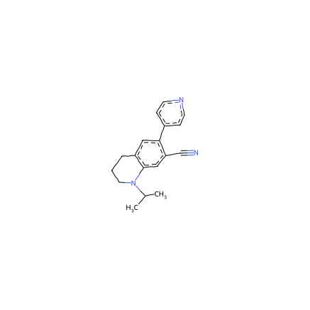 CC(C)N1CCCc2cc(-c3ccncc3)c(C#N)cc21